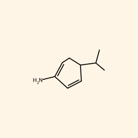 CC(C)C1C=CC(N)=CC1